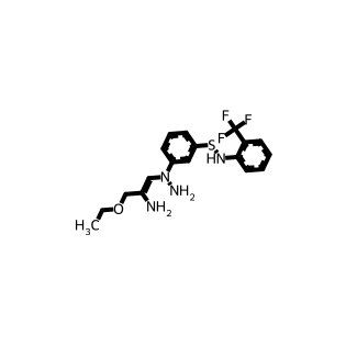 CCOC/C(N)=C/N(N)c1cccc(SNc2ccccc2C(F)(F)F)c1